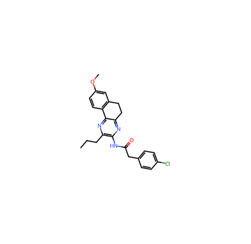 CCCc1nc2c(nc1NC(=O)Cc1ccc(Cl)cc1)CCc1cc(OC)ccc1-2